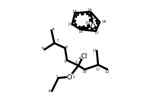 CCOC(Cl)(CCC(C)C)CC(C)C.c1cc2ccc1o2